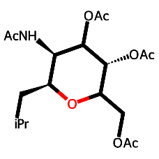 CC(=O)N[C@H]1C(OC(C)=O)[C@H](OC(C)=O)C(COC(C)=O)O[C@H]1CC(C)C